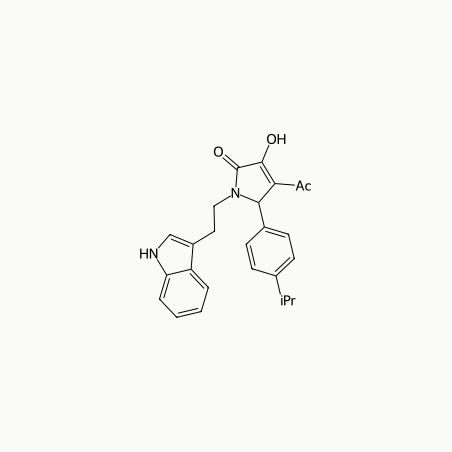 CC(=O)C1=C(O)C(=O)N(CCc2c[nH]c3ccccc23)C1c1ccc(C(C)C)cc1